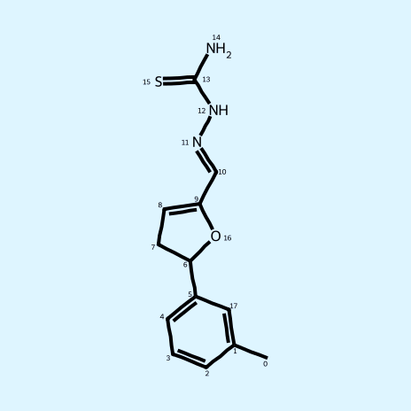 Cc1cccc(C2CC=C(/C=N/NC(N)=S)O2)c1